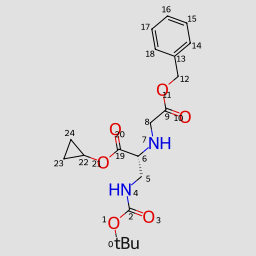 CC(C)(C)OC(=O)NC[C@@H](NCC(=O)OCc1ccccc1)C(=O)OC1CC1